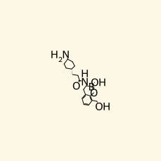 N[C@H]1CC[C@H](CCC(=O)N[C@H]2Cc3cccc(CO)c3OB2O)CC1